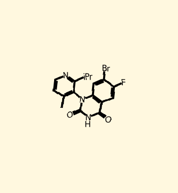 Cc1ccnc(C(C)C)c1-n1c(=O)[nH]c(=O)c2cc(F)c(Br)cc21